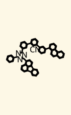 N#Cc1c(-c2cccc(-c3nc(-c4ccccc4)nc(-c4ccc5c6c(cccc46)-c4ccccc4-5)n3)c2)cccc1-c1cccc(-c2cccc3c2ccc2ccccc23)c1